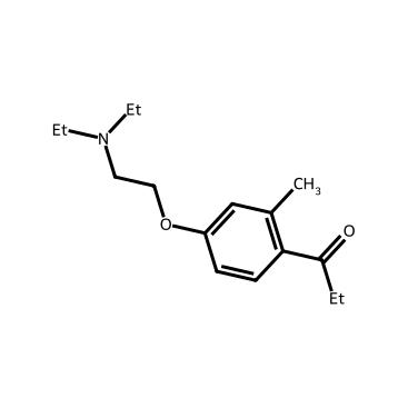 CCC(=O)c1ccc(OCCN(CC)CC)cc1C